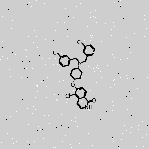 O=c1[nH]ccc2c(Cl)c(O[C@H]3CC[C@@H](N(Cc4cccc(Cl)c4)Cc4cccc(Cl)c4)CC3)ccc12